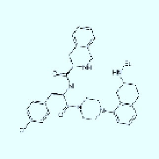 CCN[C@@H]1CCc2cccc(N3CCN(C(=O)[C@@H](Cc4ccc(Cl)cc4)NC(=O)[C@H]4Cc5ccccc5CN4)CC3)c2C1